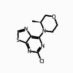 C[C@H]1COCCN1c1nc(Cl)nc2scnc12